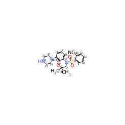 CC1(C)CN(S(=O)(=O)c2ccccc2C#N)c2cccc(N3CCNCC3)c2O1